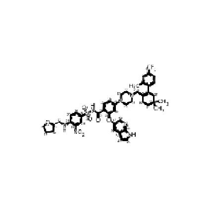 Cc1cc(C(F)(F)F)ccc1C1=C(CN2CCN(c3ccc(C(=O)NS(=O)(=O)c4ccc(NC[C@H]5CCCO5)c([N+](=O)[O-])c4)c(Oc4cnc5[nH]ccc5c4)c3)CC2)CCC(C)(C)C1